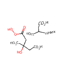 CCCCCCCCC(CCCCCC)C(=O)O.O=C(O)CC(O)(CC(=O)OO)C(=O)O